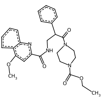 CCOC(=O)N1CCN(C(=O)C(CNC(=O)c2cc(OC)c3ccccc3n2)c2ccccc2)CC1